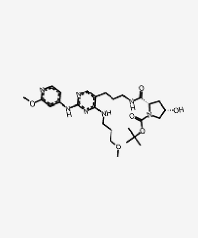 COCCCNc1nc(Nc2ccnc(OC)c2)ncc1CCCNC(=O)[C@@H]1C[C@H](O)CN1C(=O)OC(C)(C)C